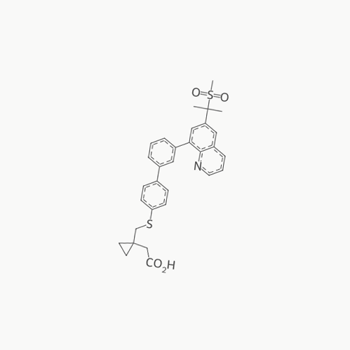 CC(C)(c1cc(-c2cccc(-c3ccc(SCC4(CC(=O)O)CC4)cc3)c2)c2ncccc2c1)S(C)(=O)=O